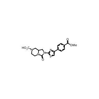 COC(=O)c1ccc(-c2csc(N3CC4CN(C(=O)O)CCN4C3=O)n2)cc1